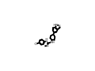 Clc1ccc(N/C(=N\I)NC2CCC(c3ccc4[nH]ncc4c3)CC2)cc1